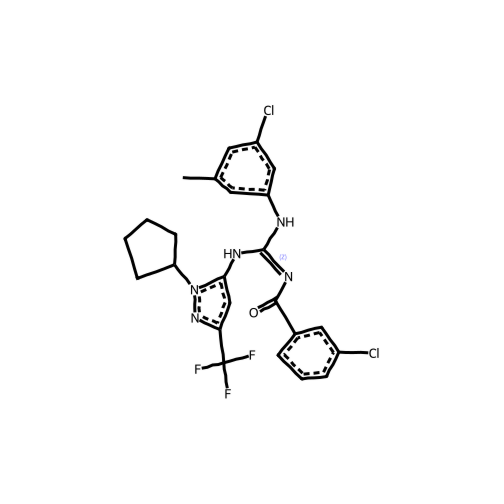 Cc1cc(Cl)cc(N/C(=N/C(=O)c2cccc(Cl)c2)Nc2cc(C(F)(F)F)nn2C2CCCC2)c1